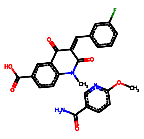 CN1C(=O)/C(=C\c2cccc(F)c2)C(=O)c2cc(C(=O)O)ccc21.COc1ccc(C(N)=O)cn1